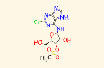 CS(=O)(=O)O[C@@H]1[C@@H](O)[C@H](Nc2nc(Cl)nc3nc[nH]c23)O[C@@H]1CO